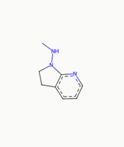 CNN1CCc2cccnc21